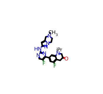 CC(C)N1CC(=O)Cc2c(F)cc(-c3nc(Nc4cc5n(n4)CCN(C)C5)ncc3F)cc21